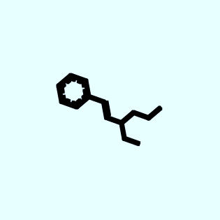 C[CH]CC(C=Cc1ccccc1)CC